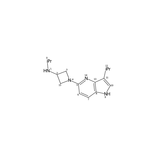 CC(C)NC1CN(c2ccc3[nH]cc(C(C)C)c3n2)C1